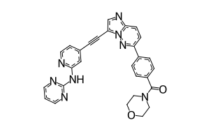 O=C(c1ccc(-c2ccc3ncc(C#Cc4ccnc(Nc5ncccn5)c4)n3n2)cc1)N1CCOCC1